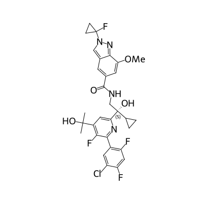 COc1cc(C(=O)NC[C@](O)(c2cc(C(C)(C)O)c(F)c(-c3cc(Cl)c(F)cc3F)n2)C2CC2)cc2cn(C3(F)CC3)nc12